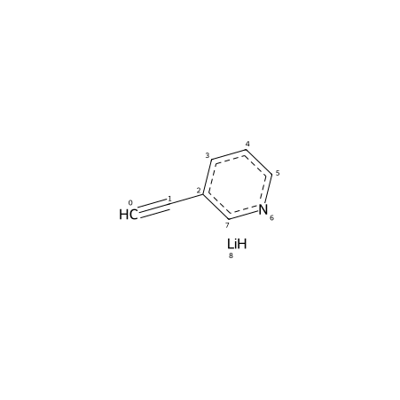 C#Cc1cccnc1.[LiH]